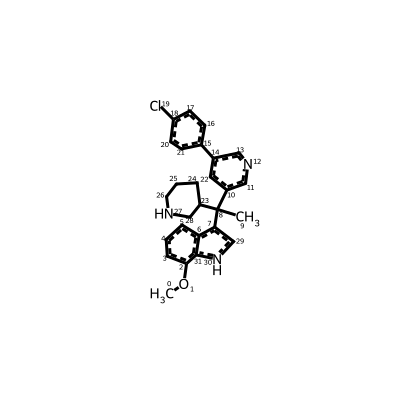 COc1cccc2c(C(C)(c3cncc(-c4ccc(Cl)cc4)c3)C3CCCNC3)c[nH]c12